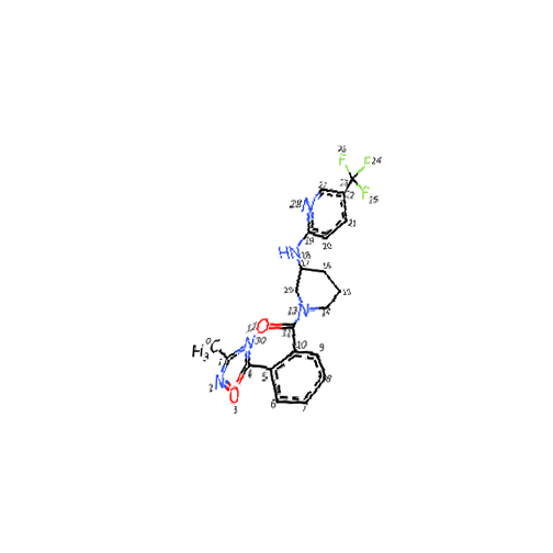 Cc1noc(-c2ccccc2C(=O)N2CCCC(Nc3ccc(C(F)(F)F)cn3)C2)n1